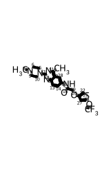 Cc1nc(N2CCN(C)CC2)nc2ccc(NC(=O)COc3csc(OC(F)(F)F)c3)cc12